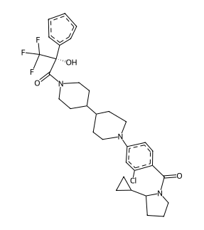 O=C(c1ccc(N2CCC(C3CCN(C(=O)[C@](O)(c4ccccc4)C(F)(F)F)CC3)CC2)cc1Cl)N1CCCC1C1CC1